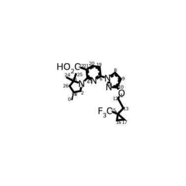 C[C@@H]1CN(c2nc(-n3ccc(OCCC4(C(F)(F)F)CC4)n3)ccc2C(=O)O)C(C)(C)C1